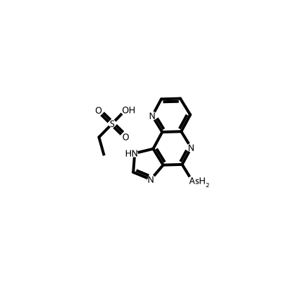 CCS(=O)(=O)O.[AsH2]c1nc2cccnc2c2[nH]cnc12